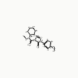 CCN(C(=O)n1nnn(-c2ccc(OC)cc2)c1=O)C1CCCCC1